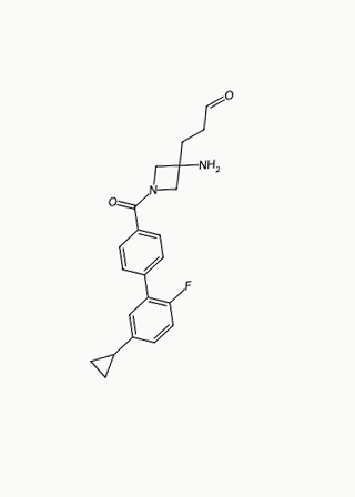 NC1(CCC=O)CN(C(=O)c2ccc(-c3cc(C4CC4)ccc3F)cc2)C1